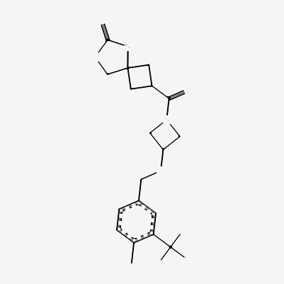 Cc1ccc(COC2CN(C(=O)C3CC4(COC(=O)N4)C3)C2)cc1C(F)(F)F